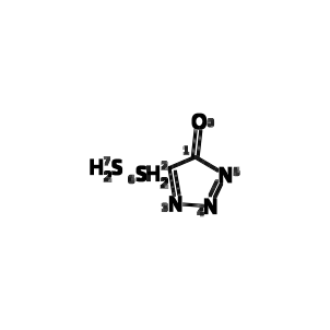 O=C1C=NN=N1.S.S